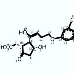 CCOC(=O)C[C@H]1C(=O)C[C@@H](O)[C@@H]1/C(O)=C\CCOc1cccc(C(F)(F)F)c1